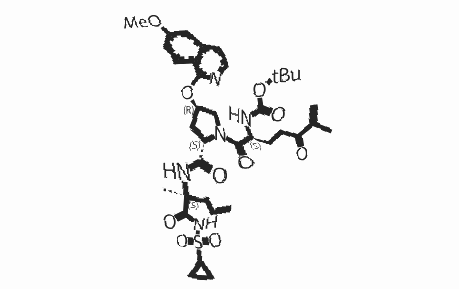 C=CC[C@](C)(NC(=O)[C@@H]1C[C@@H](Oc2nccc3cc(OC)ccc23)CN1C(=O)[C@H](CCC(=O)C(=C)C)NC(=O)OC(C)(C)C)C(=O)NS(=O)(=O)C1CC1